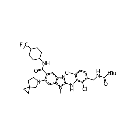 Cn1c(Nc2c(Cl)ccc(CNC(=O)C(C)(C)C)c2Cl)nc2cc(C(=O)NC3CCC(C(F)(F)F)CC3)c(N3CCC4(CC4)C3)cc21